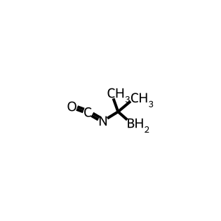 BC(C)(C)N=C=O